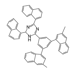 Cc1cc(-c2cc(C3=NC(c4cccc5ccccc45)=NC(c4cccc5ccccc45)N3)cc(-c3cc(C)cc4ccccc34)c2)c2ccccc2c1